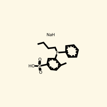 CCCCP(c1ccccc1)c1cc(S(=O)(=O)O)ccc1C.[NaH]